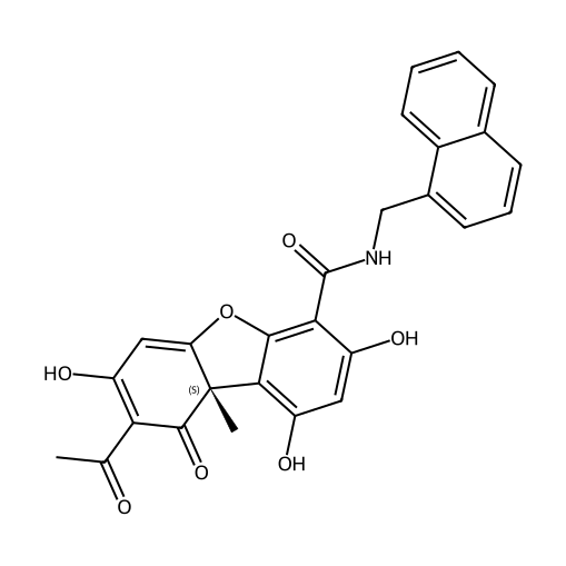 CC(=O)C1=C(O)C=C2Oc3c(C(=O)NCc4cccc5ccccc45)c(O)cc(O)c3[C@]2(C)C1=O